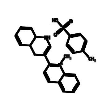 C[n+]1c(C2=CNC3C=CC=CC3C2)ccc2ccccc21.Cc1ccc(S(=O)(=O)O)cc1